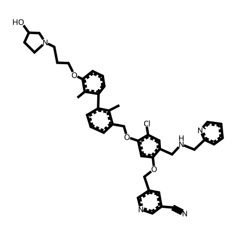 Cc1c(COc2cc(OCc3cncc(C#N)c3)c(CNCc3ccccn3)cc2Cl)cccc1-c1cccc(OCCCN2CCC(O)C2)c1C